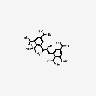 CCCCC(C)c1cc(C=C(O)C(=O)c2cc(C(C)CCCC)cc(C(C)CCCC)c2C(C)CCCC)c(C(C)CCCC)c(OC)c1